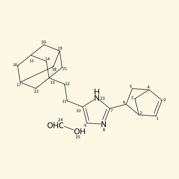 C1=CC2CC1CC2c1ncc(CCC23CC4CC(CC(C4)C2)C3)[nH]1.O=CO